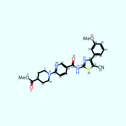 COC(=O)C1CCN(c2ccc(C(=O)Nc3nc(-c4cccc(OC)c4)c(C#N)s3)cn2)CC1